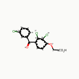 O=C(O)COc1ccc(C(=O)c2cccc(Cl)c2)c(Cl)c1Cl